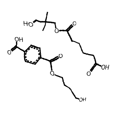 CC(C)(CO)COC(=O)CCCCC(=O)O.O=C(O)c1ccc(C(=O)OCCCCO)cc1